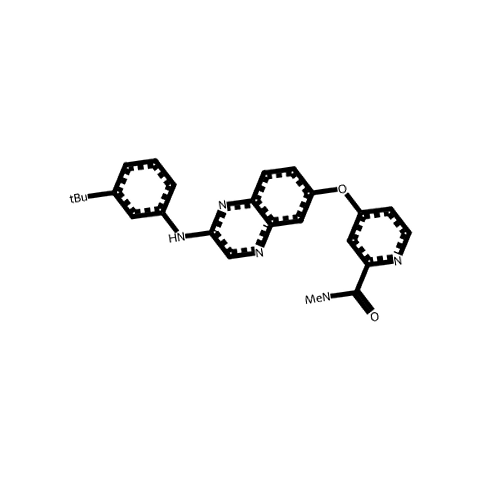 CNC(=O)c1cc(Oc2ccc3nc(Nc4cccc(C(C)(C)C)c4)cnc3c2)ccn1